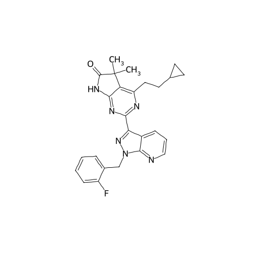 CC1(C)C(=O)Nc2nc(-c3nn(Cc4ccccc4F)c4ncccc34)nc(CCC3CC3)c21